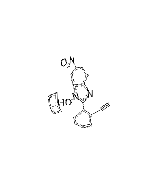 C#Cc1ccccc1-c1nc2ccc([N+](=O)[O-])cc2n1O.c1cc2ccc1-2